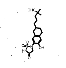 CC(C)(C=O)CCCC1CCc2cc(O)c(N3CC(=O)NS3(=O)=O)cc2C1